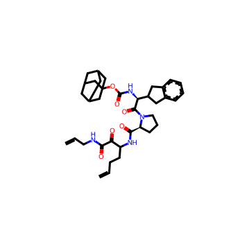 C=CCCC(NC(=O)[C@@H]1CCCN1C(=O)[C@@H](NC(=O)OC12CC3CC(CC(C3)C1)C2)C1Cc2ccccc2C1)C(=O)C(=O)NCC=C